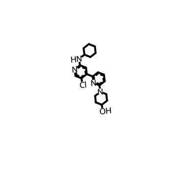 OC1CCN(c2cccc(-c3cc(NC4CCCCC4)ncc3Cl)n2)CC1